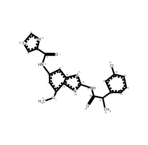 COc1cc(NC(=O)c2cscn2)cc2sc(NC(=O)C(C)c3cccc(Cl)c3)nc12